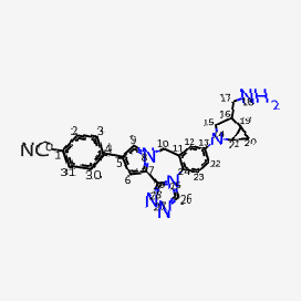 N#Cc1ccc(-c2cc3n(c2)Cc2cc(N4CC(CN)C5CC54)ccc2-n2cnnc2-3)cc1